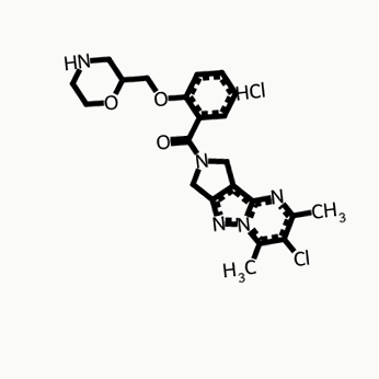 Cc1nc2c3c(nn2c(C)c1Cl)CN(C(=O)c1ccccc1OCC1CNCCO1)C3.Cl